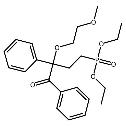 CCOP(=O)(CCC(OCCOC)(C(=O)c1ccccc1)c1ccccc1)OCC